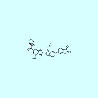 COc1cc(C(=O)N2CC3CCC2[C@@H]3C)cc2nc(-c3cc4ccc(-c5cc(F)c6c(c5)CNC6=O)cc4n3CC3CC3)n(C)c12